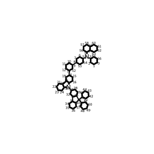 c1ccc(N(c2ccc(-c3cccc(-c4ccc5c(c4)c4ccccc4n5-c4ccc5c(c4)-c4ccccc4C5(c4ccccc4)c4ccccc4)c3)cc2)c2cccc3ccccc23)cc1